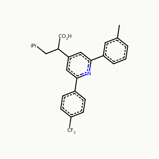 Cc1cccc(-c2cc(C(CC(C)C)C(=O)O)cc(-c3ccc(C(F)(F)F)cc3)n2)c1